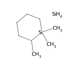 CC1CCCC[Si]1(C)C.[SiH4]